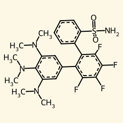 CN(C)c1cc(-c2c(F)c(F)c(F)c(F)c2-c2ccccc2S(N)(=O)=O)cc(N(C)C)c1N(C)C